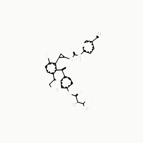 CCC(=O)c1ccc(F)c(C2CC2NC(=O)Nc2ccc(C#N)cn2)c1C(=O)c1ccc(OC(=O)[C@H](N)C(C)C)cc1